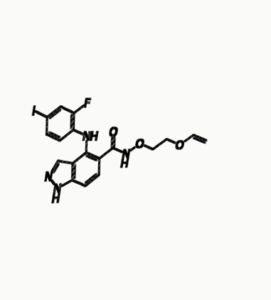 C=COCCONC(=O)c1ccc2[nH]ncc2c1Nc1ccc(I)cc1F